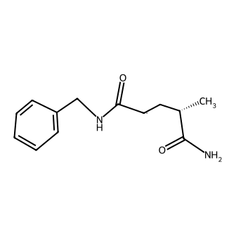 C[C@@H](C[CH]C(=O)NCc1ccccc1)C(N)=O